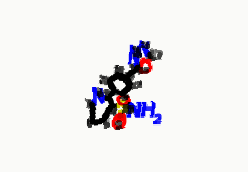 NS(=O)(=O)c1cccnc1-c1ccc(-c2nnco2)cc1